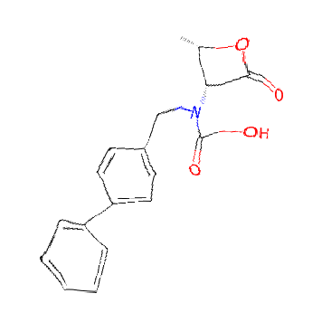 C[C@@H]1OC(=O)[C@@H]1N(Cc1ccc(-c2ccccc2)cc1)C(=O)O